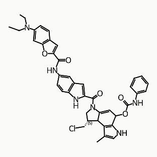 CCN(CC)c1ccc2cc(C(=O)Nc3ccc4[nH]c(C(=O)N5C[C@@H](CCl)C6C5=CC(OC(=O)Nc5ccccc5)c5[nH]cc(C)c56)cc4c3)oc2c1